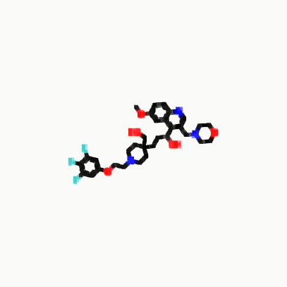 COc1ccc2ncc(CN3CCOCC3)c(C(O)CCC3(CO)CCN(CCOc4cc(F)c(F)c(F)c4)CC3)c2c1